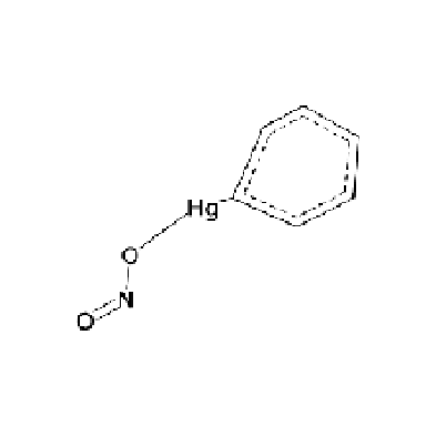 O=N[O][Hg][c]1ccccc1